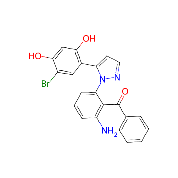 Nc1cccc(-n2nccc2-c2cc(Br)c(O)cc2O)c1C(=O)c1ccccc1